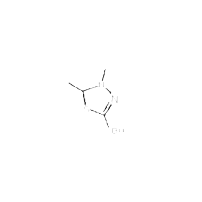 CC1SC(C(C)(C)C)=NN1C